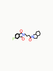 O=C(CCCN1C(=O)c2ccc(F)cc2C1=O)N1CCC2CCCCC2C1